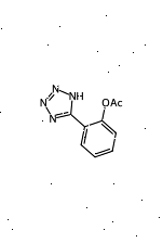 CC(=O)Oc1ccccc1-c1nnn[nH]1